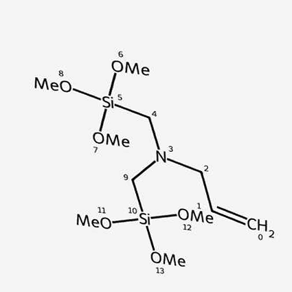 C=CCN(C[Si](OC)(OC)OC)C[Si](OC)(OC)OC